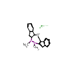 CP1C2=Cc3ccccc3[CH]2[Ti+2][CH]2C3C=CC=CC3CC2P1C.[F-].[F-]